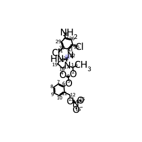 CC(OC(=O)Oc1ccccc1CO[N+](=O)[O-])N1CCN/C1=N\c1c(Cl)cc(N)cc1Cl